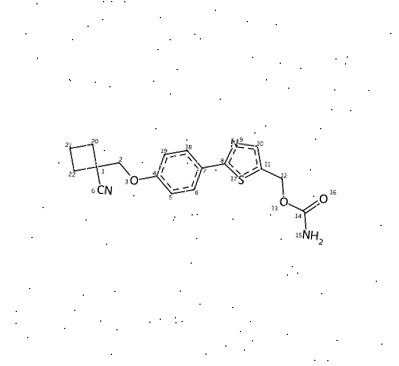 N#CC1(COc2ccc(-c3ncc(COC(N)=O)s3)cc2)CCC1